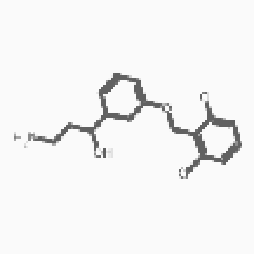 NCCC(O)C1C=CC=C(OCc2c(Cl)cccc2Cl)C1